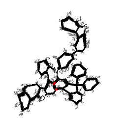 c1ccc(C2(c3ccccc3)c3ccccc3-c3ccc(N(c4ccc(-c5ccc6sc7ccccc7c6c5)cc4)c4ccccc4-c4cccc5oc6c7ccccc7ccc6c45)cc32)cc1